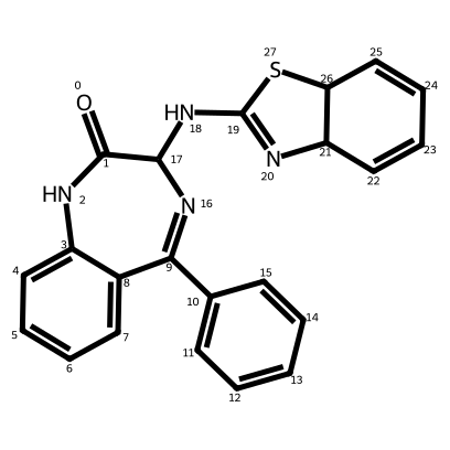 O=C1Nc2ccccc2C(c2ccccc2)=NC1NC1=NC2C=CC=CC2S1